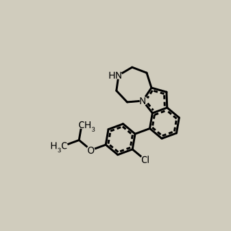 CC(C)Oc1ccc(-c2cccc3cc4n(c23)CCNCC4)c(Cl)c1